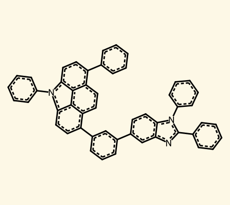 c1ccc(-c2ccc3c4c2ccc2c(-c5cccc(-c6ccc7c(c6)nc(-c6ccccc6)n7-c6ccccc6)c5)ccc(c24)n3-c2ccccc2)cc1